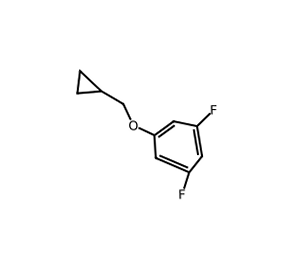 Fc1cc(F)cc(OCC2CC2)c1